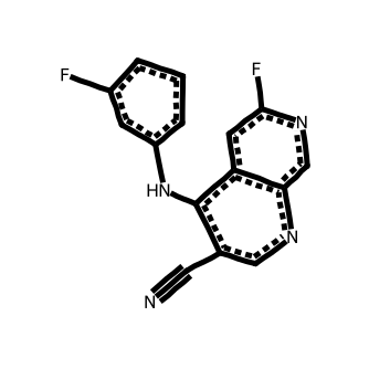 N#Cc1cnc2cnc(F)cc2c1Nc1cccc(F)c1